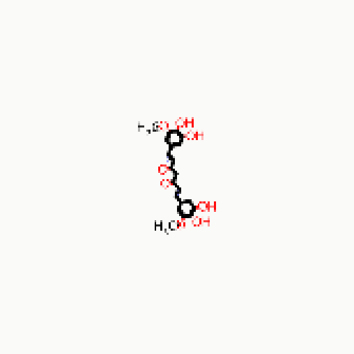 COC1=CC(/C=C/C(=O)CC(=O)/C=C/c2cc(O)c(O)c(OC)c2)CC(O)=C1O